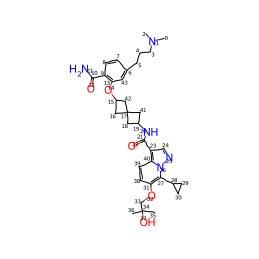 CN(C)CCCc1ccc(C(N)=O)c(OC2CC3(CC(NC(=O)c4cnn5c(C6CC6)c(OCC(C)(C)O)ccc45)C3)C2)c1